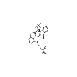 CNC(=O)CCCOc1cccc2c1[C@@H](CN1C(=O)c3ccccc3C1=O)N(C(=O)OC(C)(C)C)CC2